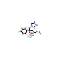 C=CCC(O)(Cn1ccnc1)c1ccc(F)cc1.Cl